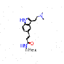 CCCCCCNC(=O)C=Cc1ccc2[nH]cc(CCN(C)C)c2c1